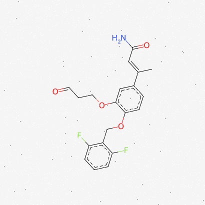 CC(=CC(N)=O)c1ccc(OCc2c(F)cccc2F)c(OCCC=O)c1